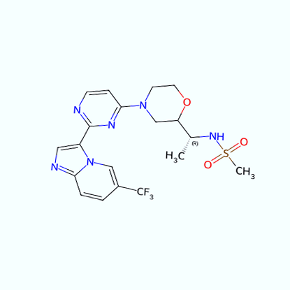 C[C@@H](NS(C)(=O)=O)C1CN(c2ccnc(-c3cnc4ccc(C(F)(F)F)cn34)n2)CCO1